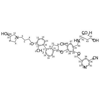 Cc1c(OCCCN2CC[C@@H](O)C2)cccc1-c1cccc2c1CCC2Oc1cc(OCc2cncc(C#N)c2)c(CN[C@@H](CCO)C(=O)O)cc1Cl